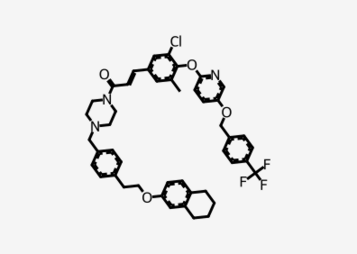 Cc1cc(C=CC(=O)N2CCN(Cc3ccc(CCOc4ccc5c(c4)CCCC5)cc3)CC2)cc(Cl)c1Oc1ccc(OCc2ccc(C(F)(F)F)cc2)cn1